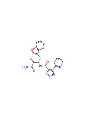 NC(=O)C(=O)C(Cc1coc2ccccc12)NC(=O)c1nsnc1-c1ccccn1